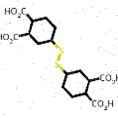 O=C(O)C1CCC(SSC2CCC(C(=O)O)C(C(=O)O)C2)CC1C(=O)O